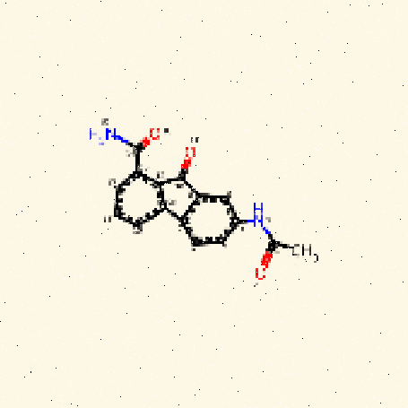 CC(=O)Nc1ccc2c(c1)C(=O)c1c(C(N)=O)[c]ccc1-2